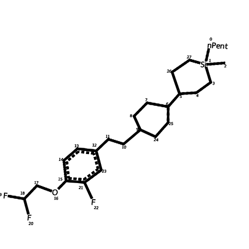 CCCCC[Si]1(C)CCC(C2CCC(CCc3ccc(OCC(F)F)c(F)c3)CC2)CC1